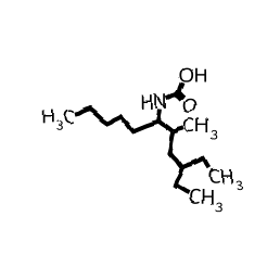 CCCCCC(NC(=O)O)C(C)CC(CC)CC